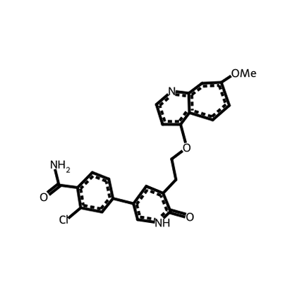 COc1ccc2c(OCCc3cc(-c4ccc(C(N)=O)c(Cl)c4)c[nH]c3=O)ccnc2c1